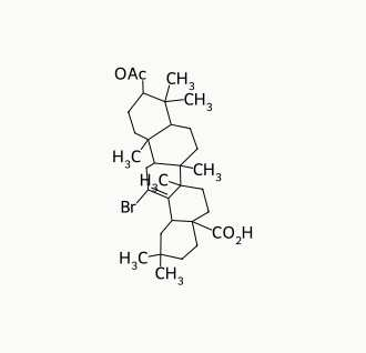 CC(=O)OC1CCC2(C)C(CCC3(C)C2CC(Br)=C2C4CC(C)(C)CCC4(C(=O)O)CCC23C)C1(C)C